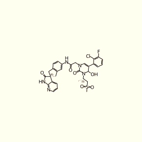 C[C@@H](CS(C)(=O)=O)N1C(=O)N(CC(=O)Nc2ccc3c(c2)C[C@@]2(C3)C(=O)Nc3ncccc32)C=C(c2cccc(F)c2Cl)C1O